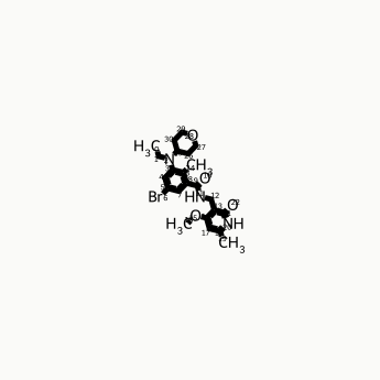 CCN(c1cc(Br)cc(C(=O)NCc2c(OC)cc(C)[nH]c2=O)c1C)C1CCOCC1